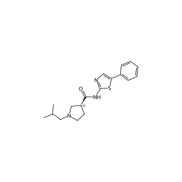 C[C](C)CN1CC[C@H](C(=O)Nc2ncc(-c3ccccc3)s2)C1